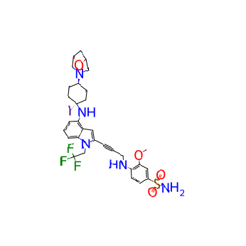 COc1cc(S(N)(=O)=O)ccc1NCC#Cc1cc2c(N[C@]3(I)CC[C@H](N4CC5CC(C4)O5)CC3)cccc2n1CC(F)(F)F